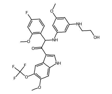 COc1cc(NCCO)cc(NC(C(=O)c2c[nH]c3cc(OC)c(OC(F)(F)F)cc23)c2ccc(F)cc2OC)c1